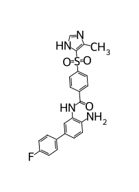 Cc1nc[nH]c1S(=O)(=O)c1ccc(C(=O)Nc2cc(-c3ccc(F)cc3)ccc2N)cc1